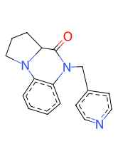 O=C1C2CCCN2c2ccccc2N1Cc1ccncc1